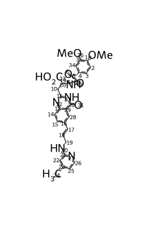 COc1ccc(S(=O)(=O)N[C@@H](Cc2nc3ccc(C=CCNc4cc(C)ccn4)cc3c(=O)[nH]2)C(=O)O)cc1OC